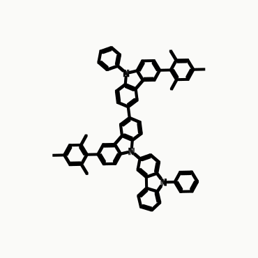 Cc1cc(C)c(-c2ccc3c(c2)c2cc(-c4ccc5c(c4)c4cc(-c6c(C)cc(C)cc6C)ccc4n5-c4ccc5c(c4)c4ccccc4n5-c4ccccc4)ccc2n3-c2ccccc2)c(C)c1